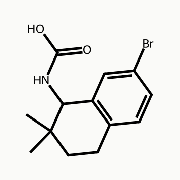 CC1(C)CCc2ccc(Br)cc2C1NC(=O)O